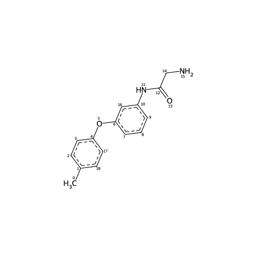 Cc1ccc(Oc2cccc(NC(=O)CN)c2)cc1